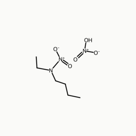 CCCCN(CC)[N+](=O)[O-].O=[N+]([O-])O